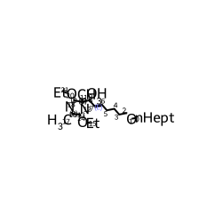 CCCCCCCOCCCC/C=C/C(O)[C@]1(C)N=C(OCC)[C@@H](C)N=C1OCC